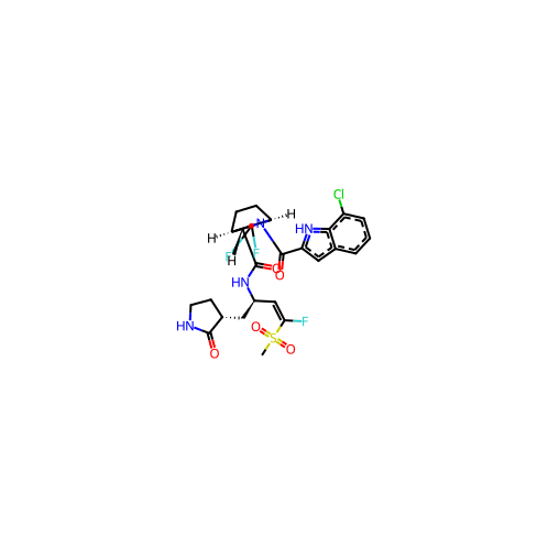 CS(=O)(=O)/C(F)=C\[C@@H](C[C@H]1CCNC1=O)NC(=O)[C@@H]1[C@H]2CC[C@H](CC2(F)F)N1C(=O)c1cc2cccc(Cl)c2[nH]1